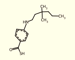 CCCC(C)(C)CCNc1ccc(C(=O)S)cc1